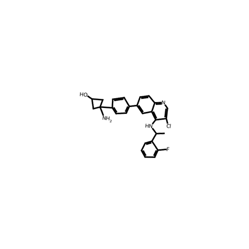 CC(Nc1c(Cl)cnc2ccc(-c3ccc(C4(N)CC(O)C4)cc3)cc12)c1ccccc1F